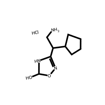 Cl.NCC(C1=NOC(O)N1)C1CCCC1